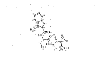 CC(C)C[C@H](NC(=O)[C@H](CO)NC(=O)c1cc2ccccc2n1C)C(=O)[C@@]1(CO)CO1